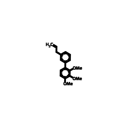 C=CCc1cccc(-c2ccc(OC)c(OC)c2OC)c1